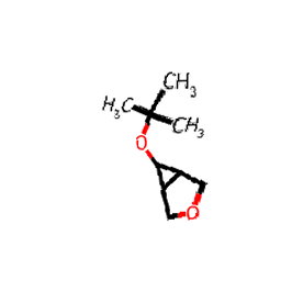 CC(C)(C)OC1C2COCC21